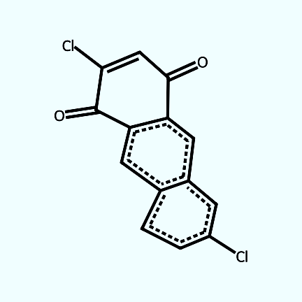 O=C1C=C(Cl)C(=O)c2cc3ccc(Cl)cc3cc21